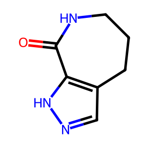 O=C1NCCCc2cn[nH]c21